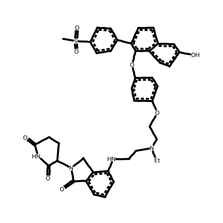 CCN(CCNc1cccc2c1CN(C1CCC(=O)NC1=O)C2=O)CCOc1ccc(Oc2c(-c3ccc(S(C)(=O)=O)cc3)ccc3cc(O)ccc23)cc1